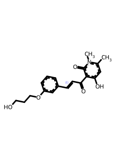 Cc1cc(O)c(C(=O)/C=C/c2cccc(OCCCO)c2)c(=O)n1C